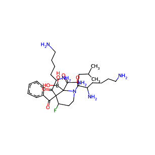 CC(C)CC(N)C(=O)C1(B(O)O)N(C(=O)C(N)CCCCN)CCC(F)C1(C(=O)c1ccccc1)C(=O)C(N)CCCCN